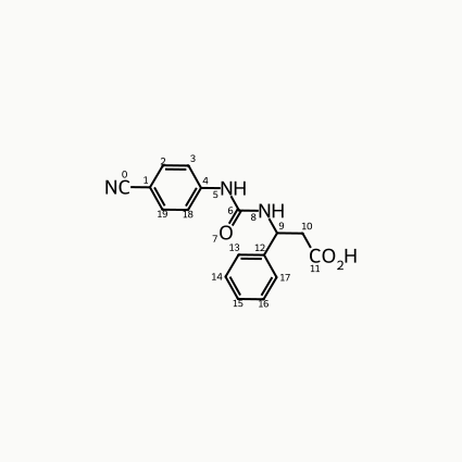 N#Cc1ccc(NC(=O)NC(CC(=O)O)c2ccccc2)cc1